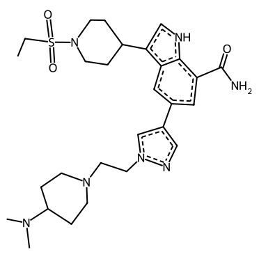 CCS(=O)(=O)N1CCC(c2c[nH]c3c(C(N)=O)cc(-c4cnn(CCN5CCC(N(C)C)CC5)c4)cc23)CC1